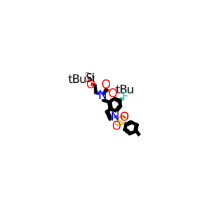 Cc1ccc(S(=O)(=O)n2ccc3c(CN(CCO[Si](C)(C)C(C)(C)C)C(=O)OC(C)(C)C)cc(F)cc32)cc1